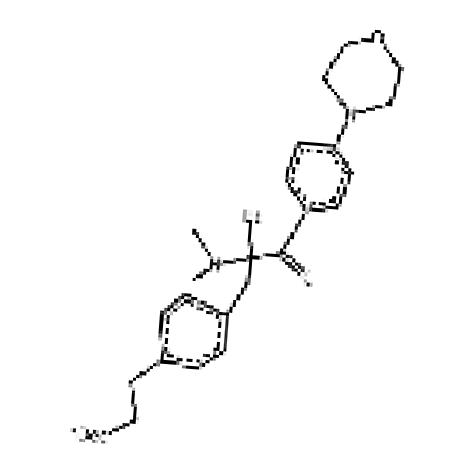 CCCCCCCCCCCCc1ccc(CC(CC)(C(=O)c2ccc(N3CCOCC3)cc2)N(C)C)cc1